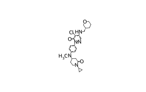 CN(c1ccc(-n2ncc(NC[C@@H]3CCCOC3)c(Cl)c2=O)cc1)C1CCN(C2CC2)C(=O)C1